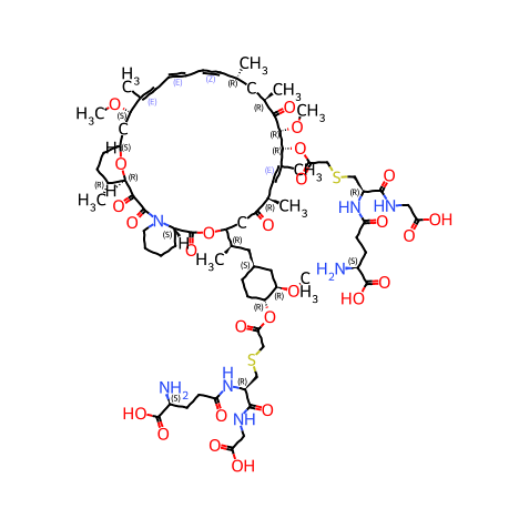 CO[C@H]1C[C@@H]2CC[C@@H](C)[C@@H](O2)C(=O)C(=O)N2CCCC[C@H]2C(=O)OC([C@H](C)C[C@@H]2CC[C@@H](OC(=O)CSC[C@H](NC(=O)CC[C@H](N)C(=O)O)C(=O)NCC(=O)O)[C@H](OC)C2)CC(=O)[C@H](C)/C=C(\C)[C@@H](OC(=O)CSC[C@H](NC(=O)CC[C@H](N)C(=O)O)C(=O)NCC(=O)O)[C@@H](OC)C(=O)[C@H](C)C[C@@H](C)\C=C/C=C/C=C/1C